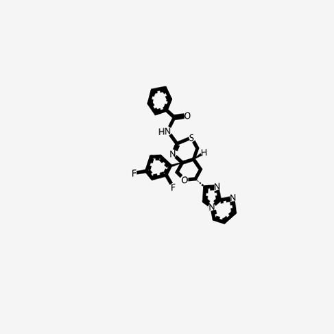 O=C(NC1=N[C@@]2(c3ccc(F)cc3F)CO[C@@H](c3cn4cccnc4n3)C[C@H]2CS1)c1ccccc1